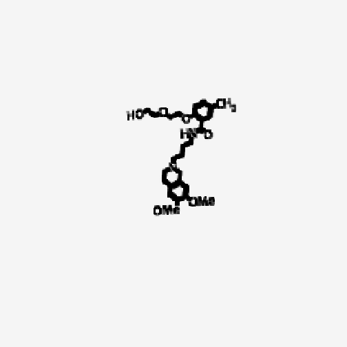 COc1cc2c(cc1OC)CN(CCCCNC(=O)c1cc(C)ccc1OCCOCCO)CC2